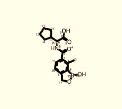 Cc1c(C(=O)N[C@H](C(=O)O)C2CCCC2)ccc2c1B(O)OC2